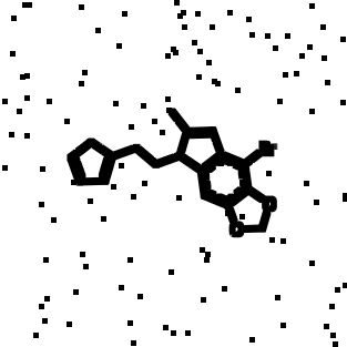 CC1=Cc2c(cc3c(c2Br)OCO3)C1CCC1=CC=CC1